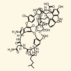 CC(C)CCC(=O)N[C@H]1C(=O)N[C@@H](CC(N)=O)C(=O)N[C@@H](C(N)=O)c2cc(Oc3ccc([C@@H](O)[C@@H]4NC(=O)Cc5ccc(O)c(c5)-c5c(O)cc(O)cc5[C@H](C(=O)O)NC4=O)cc3Cl)c(O[C@H]3O[C@@H](CO)[C@H](O)[C@@H](O)[C@@H]3O[C@H]3C[C@](C)(N)[C@H](O)[C@H](O)O3)c(c2)Oc2ccc(cc2Cl)[C@H]1O